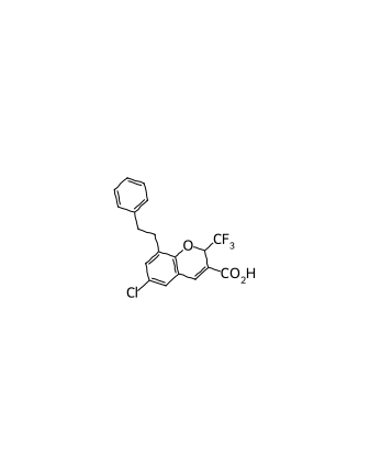 O=C(O)C1=Cc2cc(Cl)cc(CCc3ccccc3)c2OC1C(F)(F)F